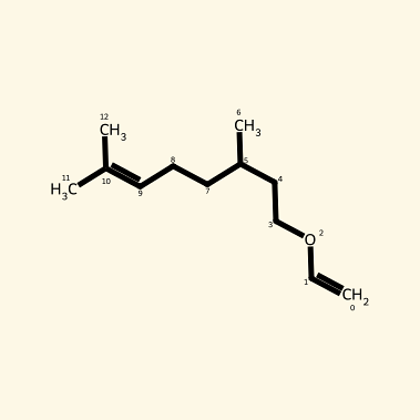 C=COCCC(C)CCC=C(C)C